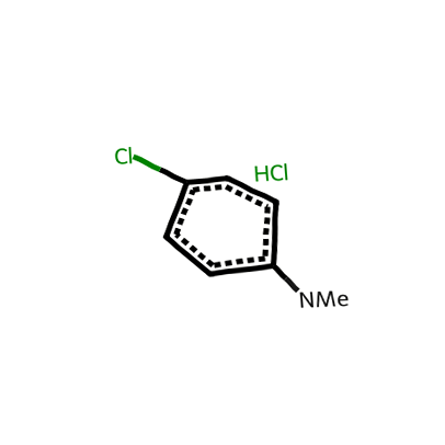 Cl.[CH2]Nc1ccc(Cl)cc1